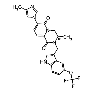 Cc1cn(-c2ccc3n(c2=O)C[C@@H](C)N(Cc2c[nH]c4ccc(OC(F)(F)F)cc24)C3=O)cn1